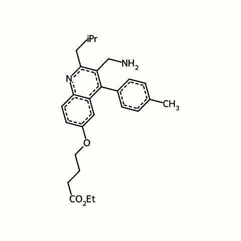 CCOC(=O)CCCOc1ccc2nc(CC(C)C)c(CN)c(-c3ccc(C)cc3)c2c1